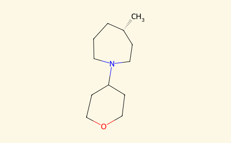 C[C@H]1CCCN(C2CCOCC2)CC1